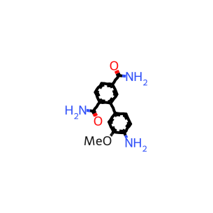 COc1cc(-c2cc(C(N)=O)ccc2C(N)=O)ccc1N